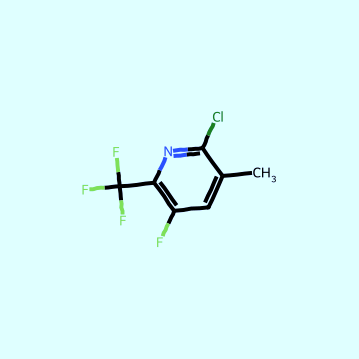 Cc1cc(F)c(C(F)(F)F)nc1Cl